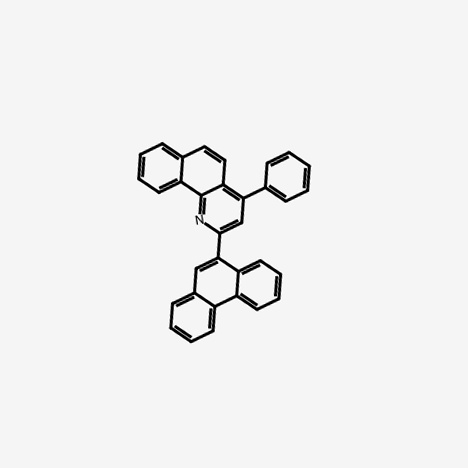 c1ccc(-c2cc(-c3cc4ccccc4c4ccccc34)nc3c2ccc2ccccc23)cc1